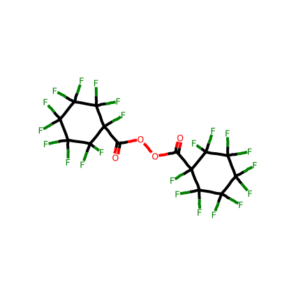 O=C(OOC(=O)C1(F)C(F)(F)C(F)(F)C(F)(F)C(F)(F)C1(F)F)C1(F)C(F)(F)C(F)(F)C(F)(F)C(F)(F)C1(F)F